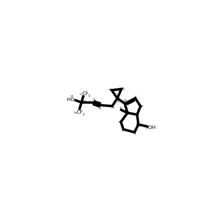 CC12CCCC(O)C1CC=C2C1(CC#CC(O)(C(F)(F)F)C(F)(F)F)CC1